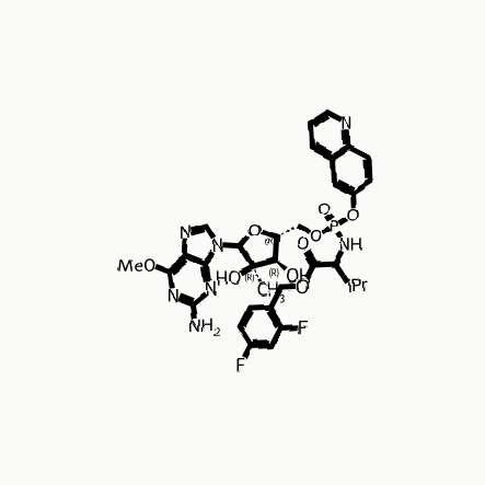 COc1nc(N)nc2c1ncn2C1O[C@H](COP(=O)(NC(C(=O)OCc2ccc(F)cc2F)C(C)C)Oc2ccc3ncccc3c2)[C@@H](O)[C@@]1(C)O